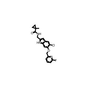 CC1(C(=O)NCc2cc3cc(Cl)c(OCc4cccc(F)n4)cc3[nH]2)CC1